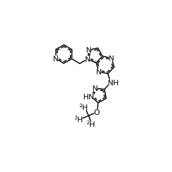 [2H]C([2H])([2H])Oc1cc(Nc2cnc3cnn(Cc4cccnc4)c3n2)n[nH]1